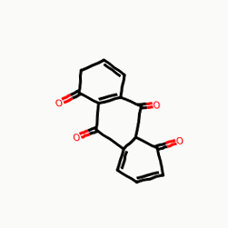 O=C1CC=CC2=C1C(=O)C1=CC=CC(=O)C1C2=O